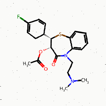 CC(=O)O[C@H]1C(=O)N(CCN(C)C)c2ccccc2S[C@H]1C1C=CC(F)=CC1